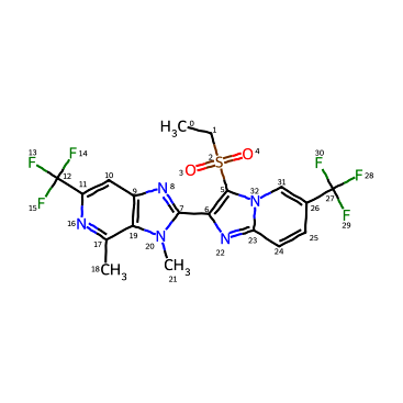 CCS(=O)(=O)c1c(-c2nc3cc(C(F)(F)F)nc(C)c3n2C)nc2ccc(C(F)(F)F)cn12